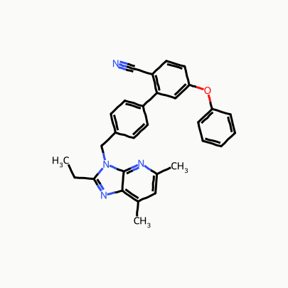 CCc1nc2c(C)cc(C)nc2n1Cc1ccc(-c2cc(Oc3ccccc3)ccc2C#N)cc1